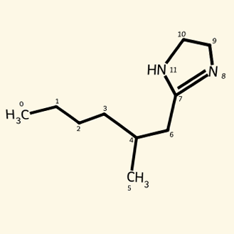 CCCCC(C)CC1=NCCN1